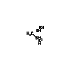 C[SiH3].[KH].[KH].[KH]